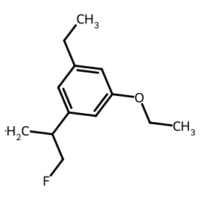 [CH2]C(CF)c1cc(CC)cc(OCC)c1